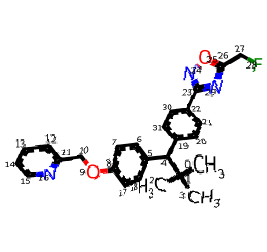 CC(C)(C)C(c1ccc(OCc2ccccn2)cc1)c1ccc(-c2noc(CF)n2)cc1